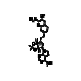 CNc1ncnc2c1ccn2[C@@H]1C[C@H](CCc2ccc3cc(Br)c(N)nc3c2)[C@H]2OC(C)(C)O[C@H]21